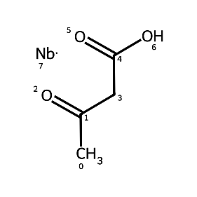 CC(=O)CC(=O)O.[Nb]